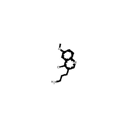 COc1ccc2ncc(CCCN)c(Cl)c2c1